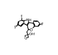 OC1(CC2Oc3cc(F)ccc3-c3[nH]c4c(F)cc(F)cc4c32)COC1